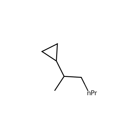 [CH2]CCCC(C)C1CC1